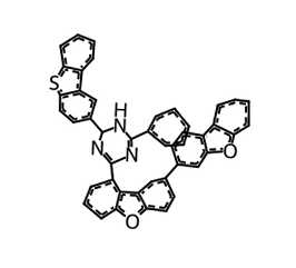 c1ccc(C2=NC(c3cccc4oc5ccc(-c6ccc7c(c6)oc6ccccc67)cc5c34)=NC(c3ccc4sc5ccccc5c4c3)N2)cc1